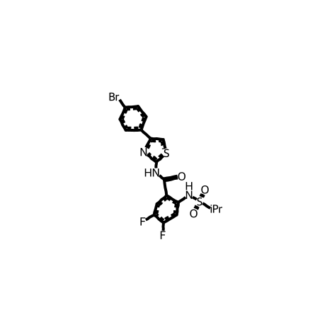 CC(C)S(=O)(=O)Nc1cc(F)c(F)cc1C(=O)Nc1nc(-c2ccc(Br)cc2)cs1